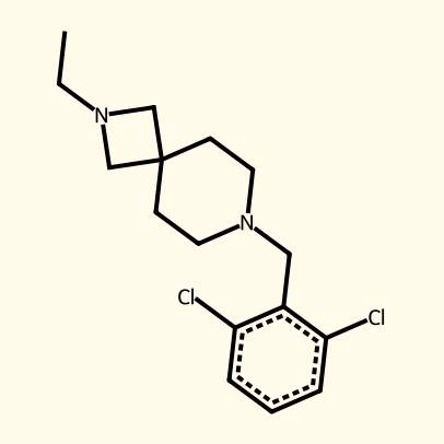 CCN1CC2(CCN(Cc3c(Cl)cccc3Cl)CC2)C1